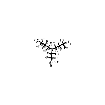 O=C([O-])C(F)(F)C(F)(F)N(C(F)(F)C(F)(F)C(F)(F)C(F)(F)F)C(F)(F)C(F)(F)C(F)(F)C(F)(F)F.[K+]